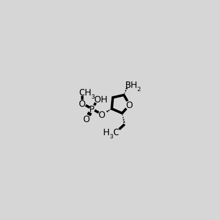 B[C@H]1C[C@@H](OP(=O)(O)OC)[C@@H](CC)O1